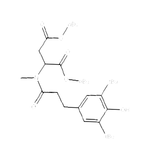 CCCCOC(=O)CC(C(=O)OCCCC)N(C)C(=O)CCc1cc(C(C)(C)C)c(O)c(C(C)(C)C)c1